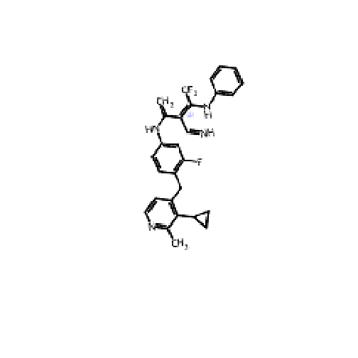 C=C(Nc1ccc(Cc2ccnc(C)c2C2CC2)c(F)c1)/C(C=N)=C(/Nc1ccccc1)C(F)(F)F